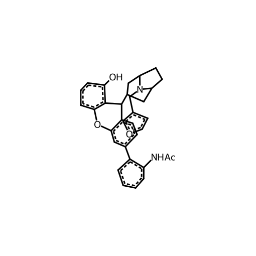 CC(=O)Nc1ccccc1-c1ccc2c(c1)Oc1cccc(O)c1C2C1CC2CCC(C1)N2Cc1ccoc1